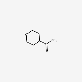 C=C(N)C1CCOCC1